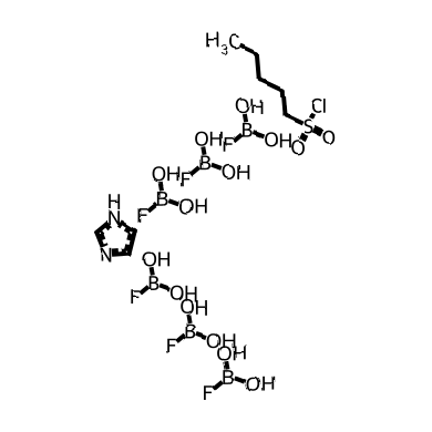 CCCCCS(=O)(=O)Cl.OB(O)F.OB(O)F.OB(O)F.OB(O)F.OB(O)F.OB(O)F.c1c[nH]cn1